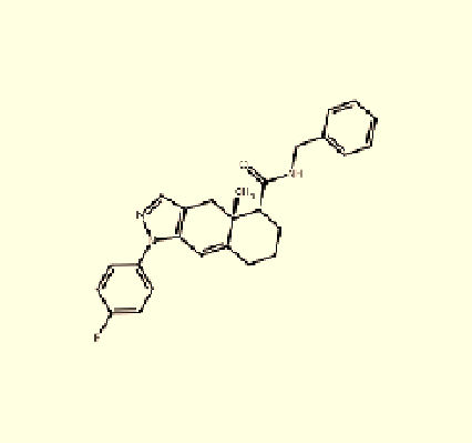 C[C@]12Cc3cnn(-c4ccc(F)cc4)c3C=C1CCC[C@@H]2C(=O)NCc1ccccc1